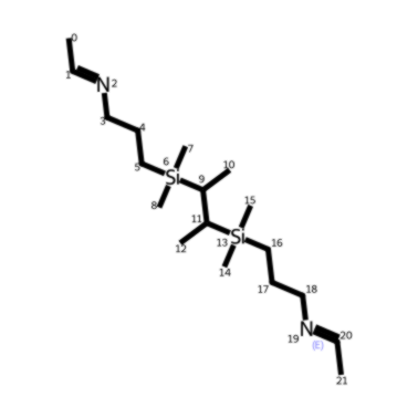 CC=NCCC[Si](C)(C)C(C)C(C)[Si](C)(C)CCC/N=C/C